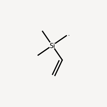 [CH2][Si](C)(C)C=C